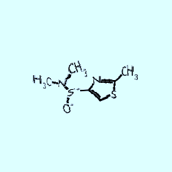 Cc1nc([S+]([O-])N(C)C)cs1